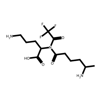 CC(N)CCCC(=O)N(C(=O)C(F)(F)F)C(CCCN)C(=O)O